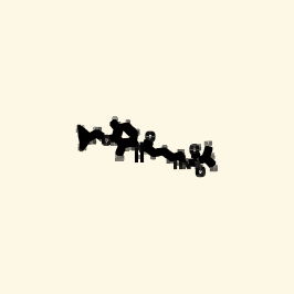 Cc1ccc(NC(=O)CCCCNS(=O)(=O)C(C)C)c(C)c1OCC1CC1